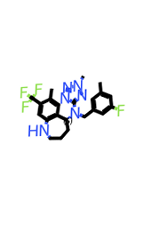 Cc1cc(F)cc(CN(c2nnn(C)n2)[C@H]2CCCNc3cc(C(F)(F)F)c(C)cc32)c1